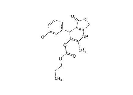 CCCOC(=O)OC1=C(C)NC2=C(C(=O)OC2)C1c1cccc(Cl)c1